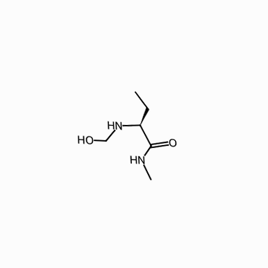 CC[C@H](NCO)C(=O)NC